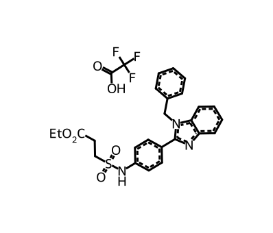 CCOC(=O)CCS(=O)(=O)Nc1ccc(-c2nc3ccccc3n2Cc2ccccc2)cc1.O=C(O)C(F)(F)F